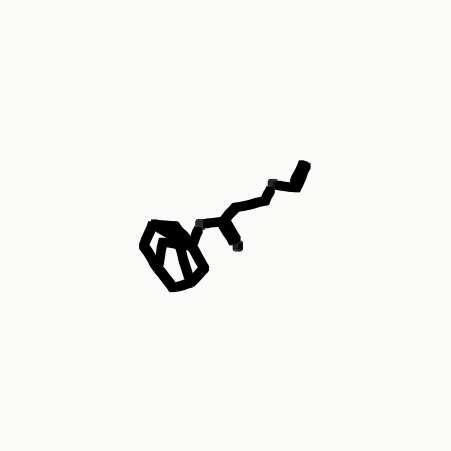 C=COCCC(=O)OC12CC3CC(CC(C3)C1)C2